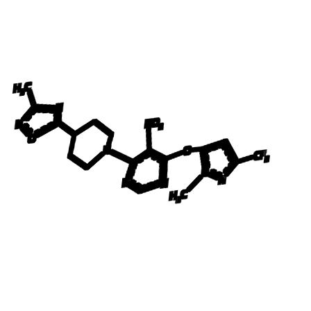 Cc1noc(C2CCN(c3ncnc(Oc4cc(C(F)(F)F)nn4C)c3[N+](=O)[O-])CC2)n1